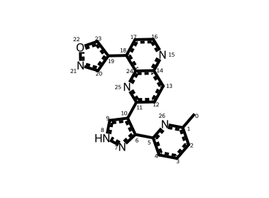 Cc1cccc(-c2n[nH]cc2-c2ccc3nccc(-c4cnoc4)c3n2)n1